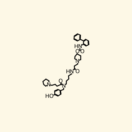 O=C(CCN1CCC(OC(=O)Nc2ccccc2-c2ccccc2)CC1)NCCCCCN(Cc1ccc(O)cc1)C(=O)CCCN1CCCCC1